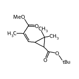 COC(=O)C(C)=CC1C(C(=O)OC(C)(C)C)C1(C)C